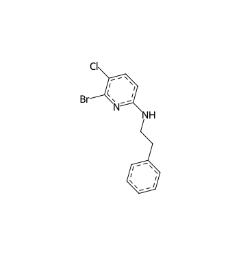 Clc1ccc(NCCc2ccccc2)nc1Br